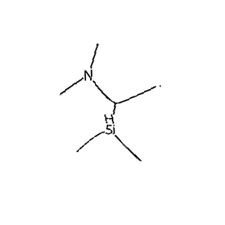 [CH2]C(N(C)C)[SiH](C)C